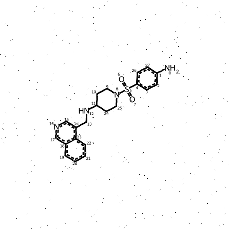 Nc1ccc(S(=O)(=O)N2CCC(NCc3cncc4ccccc34)CC2)cc1